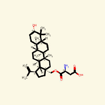 C=C(C)[C@@H]1CC[C@]2(COC(=O)[C@@H](N)CC(=O)O)CC[C@]3(C)[C@H](CC[C@@H]4[C@@]5(C)CC[C@H](O)C(C)(C)[C@@H]5CC[C@]43C)[C@@H]12